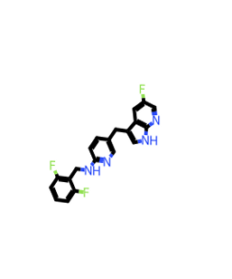 Fc1cnc2[nH]cc(Cc3ccc(NCc4c(F)cccc4F)nc3)c2c1